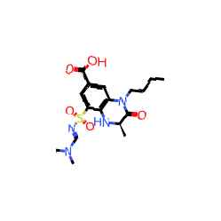 CCCCN1C(=O)[C@@H](C)Nc2c1cc(C(=O)O)cc2S(=O)(=O)N=CN(C)C